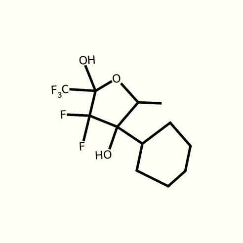 CC1OC(O)(C(F)(F)F)C(F)(F)C1(O)C1CCCCC1